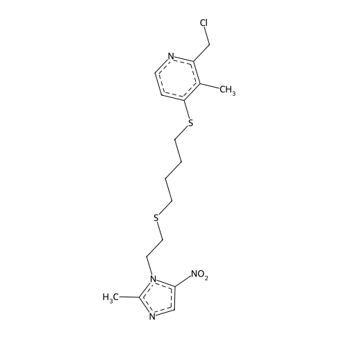 Cc1c(SCCCCSCCn2c([N+](=O)[O-])cnc2C)ccnc1CCl